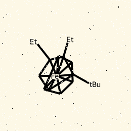 CC[C]12[CH]3[CH]4[C]5(C(C)(C)C)[C]1(CC)[Fe]34251678[CH]2[CH]1[CH]6[CH]7[CH]28